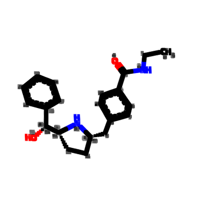 CCNC(=O)c1ccc(C[C@@H]2CC[C@H]([C@H](O)c3ccccc3)N2)cc1